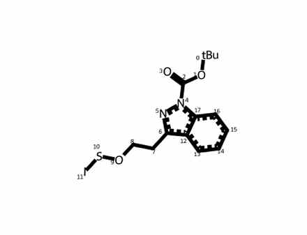 CC(C)(C)OC(=O)n1nc(CCOSI)c2ccccc21